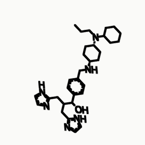 CCCN(C1CCCCC1)[C@H]1CC[C@H](NCc2ccc(C(O)C(Cc3ncc[nH]3)Cc3ncc[nH]3)cc2)CC1